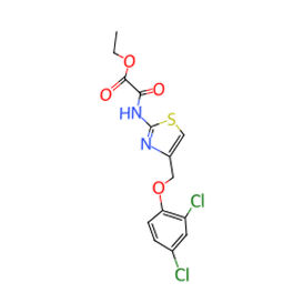 CCOC(=O)C(=O)Nc1nc(COc2ccc(Cl)cc2Cl)cs1